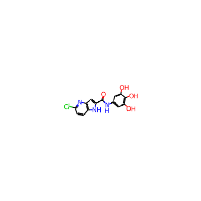 O=C(Nc1cc(O)c(O)c(O)c1)c1cc2nc(Cl)ccc2[nH]1